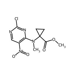 COC(=O)C1(N(C)c2nc(Cl)ncc2[N+](=O)[O-])CC1